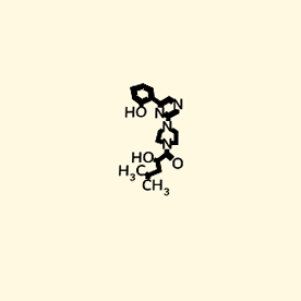 CC(C)CC(O)C(=O)N1CCN(c2cncc(-c3ccccc3O)n2)CC1